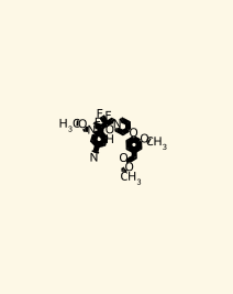 CCOC(=O)Cc1ccc(OC2CCN(CC(O)(c3cn(COC)c4cc(C#N)ccc34)C(F)(F)F)CC2)c(OC)c1